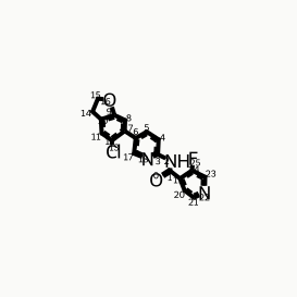 O=C(Nc1ccc(-c2cc3c(cc2Cl)CCO3)cn1)c1ccncc1F